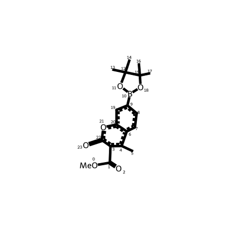 COC(=O)c1c(C)c2ccc(B3OC(C)(C)C(C)(C)O3)cc2oc1=O